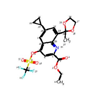 CCOC(=O)c1cc(OS(=O)(=O)C(F)(F)F)c2cc(C3CC3)cc(C3(C)OCCO3)c2n1